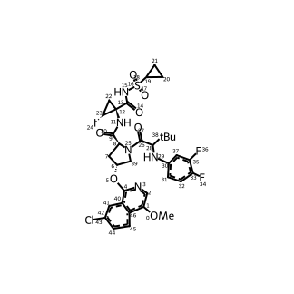 COc1cnc(O[C@@H]2C[C@@H](C(=O)N[C@]3(C(=O)NS(=O)(=O)C4CC4)C[C@H]3I)N(C(=O)C(Nc3ccc(F)c(F)c3)C(C)(C)C)C2)c2cc(Cl)ccc12